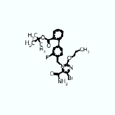 CCCOc1nc(Br)c(C(N)=O)n1Cc1ccc(-c2ccccc2C(=O)OC(C)(C)C)cc1F